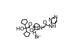 O=C(C[N+]12CCC(CC1)[C@@H](OC(=O)C(O)(C1CCCC1)C1CCCC1)C2)Nc1ccncn1.[Br-]